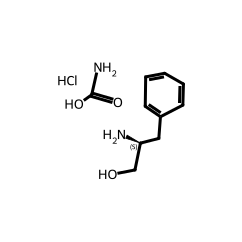 Cl.NC(=O)O.N[C@H](CO)Cc1ccccc1